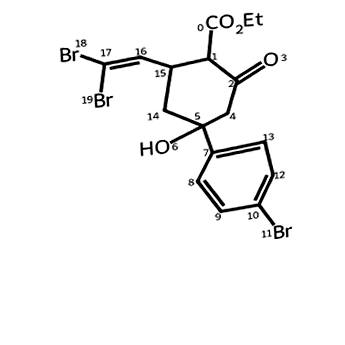 CCOC(=O)C1C(=O)CC(O)(c2ccc(Br)cc2)CC1C=C(Br)Br